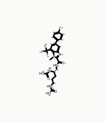 Cn1c(C(=O)NC[C@H](CCCNC(=O)O)NC(=O)O)nc2cc(-c3ccc(F)cc3)cc(C(F)(F)F)c21